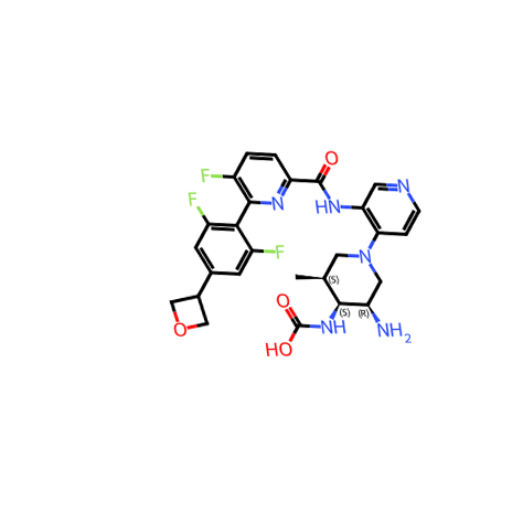 C[C@H]1CN(c2ccncc2NC(=O)c2ccc(F)c(-c3c(F)cc(C4COC4)cc3F)n2)C[C@@H](N)[C@H]1NC(=O)O